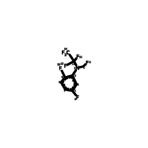 FCN(c1cc(F)ccc1F)C(F)(F)C(F)(F)F